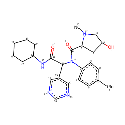 CC(C)(C)c1ccc(N(C(=O)C2CC(O)CN2C#N)C(C(=O)NC2CCCCC2)c2cncnc2)cc1